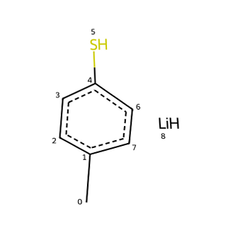 Cc1ccc(S)cc1.[LiH]